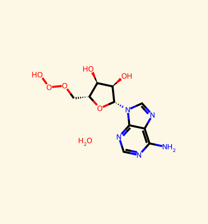 Nc1ncnc2c1ncn2[C@@H]1O[C@H](COOO)[C@@H](O)[C@H]1O.O